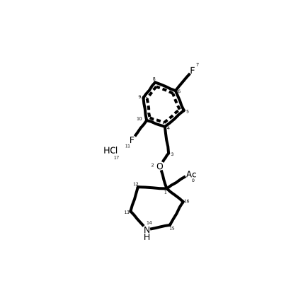 CC(=O)C1(OCc2cc(F)ccc2F)CCNCC1.Cl